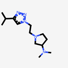 CC(C)c1cn(CCN2CCC(N(C)C)C2)nn1